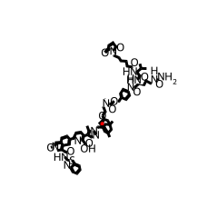 Cc1c(-c2ccc(-c3ccc4c[n+]([O-])cc(C(=O)Nc5nc6ccccc6s5)c4c3)nc2C(=O)O)cnn1CC12CC3(C)CC(C)(C1)CC(OCCN(C)C(=O)OCc1ccc(NC(=O)[C@H](CCCNC(N)=O)NC(=O)[C@@H](NC(=O)CCCCCN4C(=O)C=CC4=O)C(C)C)cc1)(C3)C2